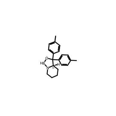 Cc1ccc(C2(c3ccc(C)cc3)OBN3CCCC[C@H]32)cc1